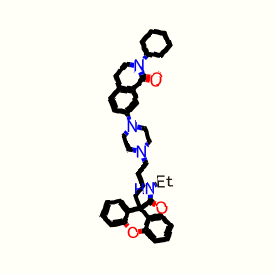 CCNC(=O)C1(CCCCN2CCN(c3ccc4c(c3)C(=O)N(C3CCCCC3)CC4)CC2)c2ccccc2Oc2ccccc21